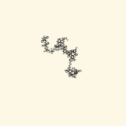 C=C1C[C@H]2C(S(=O)(=O)O)Nc3cc(OCCCCCOc4cc5c(cc4OC)C(=O)N4CC(=C)C[C@H]4[C@H](O)N5C(=O)OCc4ccc(NC(=O)[C@H](CCCCN)NC(=O)[C@H](Cc5ccccc5)NC(=O)CCOC(C)(C)CCOC(C)(C)CCNC(=O)CCN5C(=O)C=CC5=O)cc4)c(OC)cc3C(=O)N2C1